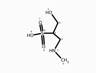 CNCC(CO)S(=O)(=O)O